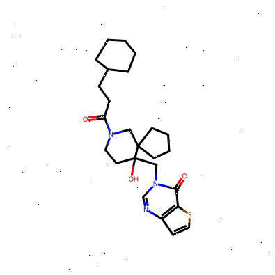 O=C(CCC1CCCCC1)N1CCC(O)(Cn2cnc3ccsc3c2=O)C2(CCCC2)C1